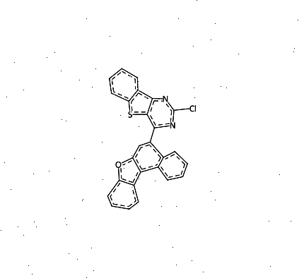 Clc1nc(-c2cc3oc4ccccc4c3c3ccccc23)c2sc3ccccc3c2n1